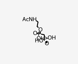 CC(=O)NCCOP(=O)(O)CP(=O)(O)O